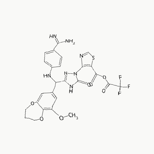 COc1cc(C(Nc2ccc(C(=N)N)cc2)c2nn(-c3ncsc3C(=O)OC(=O)C(F)(F)F)c(=O)[nH]2)cc2c1OCCCO2